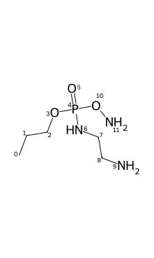 CCCOP(=O)(NCCN)ON